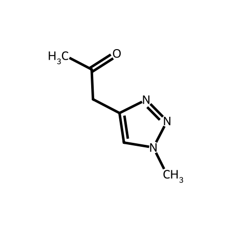 CC(=O)Cc1cn(C)nn1